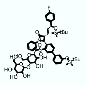 CC(C)(C)[Si](C)(C)Oc1cccc(-c2ccc([C@@H]3[C@@H](CC[C@H](O[Si](C)(C)C(C)(C)C)c4ccc(F)cc4)C(=O)N3c3ccccc3)c(S(=O)(=O)C[C@@H]3OC(CO)[C@@H](O[C@@H]4OC(CO)[C@@H](O)[C@H](O)C4O)[C@H](O)C3O)c2)c1